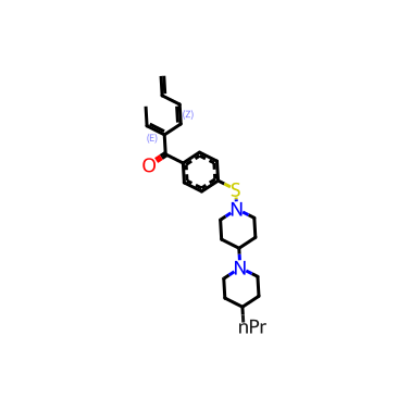 C=C/C=C\C(=C/C)C(=O)c1ccc(SN2CCC(N3CCC(CCC)CC3)CC2)cc1